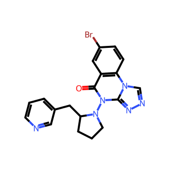 O=c1c2cc(Br)ccc2n2cnnc2n1N1CCCC1Cc1cccnc1